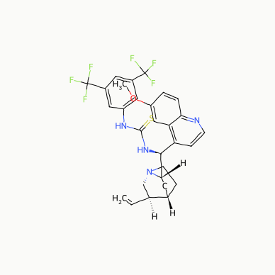 C=C[C@H]1C[N@]2CC[C@H]1C[C@H]2[C@@H](NC(=S)Nc1cc(C(F)(F)F)cc(C(F)(F)F)c1)c1ccnc2ccc(OC)cc12